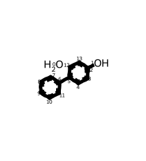 O.Oc1ccc(-c2ccccc2)cc1